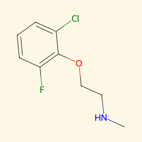 CNCCOc1c(F)cccc1Cl